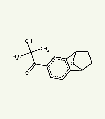 CC(C)(O)C(=O)c1ccc2c(c1)C1CCC2O1